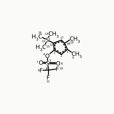 Cc1cc(OS(=O)(=O)C(F)(F)F)c([Si](C)(C)C)cc1C